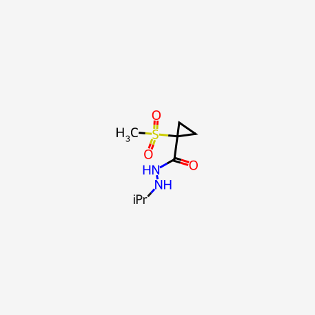 CC(C)NNC(=O)C1(S(C)(=O)=O)CC1